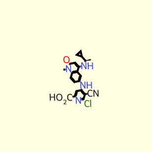 C[C@@H](Nc1cc(=O)n(C)c2ccc(Nc3cc(C(=O)O)nc(Cl)c3C#N)cc12)C1CC1